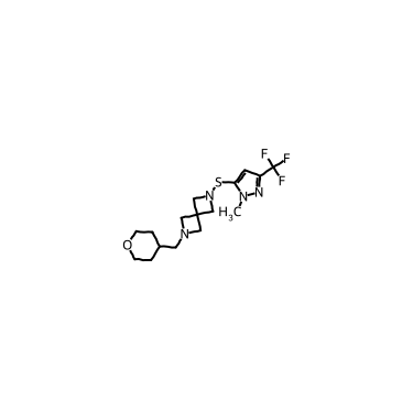 Cn1nc(C(F)(F)F)cc1SN1CC2(CN(CC3CCOCC3)C2)C1